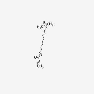 CC=CC(=O)OCCCCCCCCCC[Si](C)(C)F